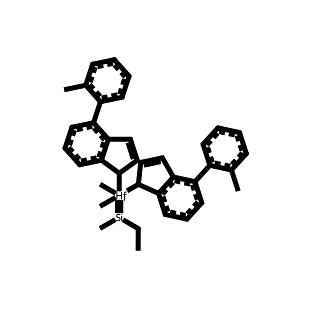 CC[Si](C)=[Hf]([CH3])([CH3])([CH]1C=Cc2c(-c3ccccc3C)cccc21)[CH]1C=Cc2c(-c3ccccc3C)cccc21